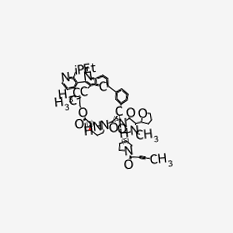 CC#CC(=O)N1CC[C@H](C(=O)N(C)C(C(=O)N[C@H]2Cc3cccc(c3)-c3ccc4c(c3)c(c(-c3cccnc3C(C)C)n4CC)CC(C)(C)COC(=O)[C@@H]3CCCN(N3)C2=O)C2CCCO2)C1